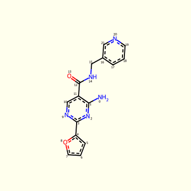 Nc1nc(-c2ccco2)ncc1C(=O)NCc1cccnc1